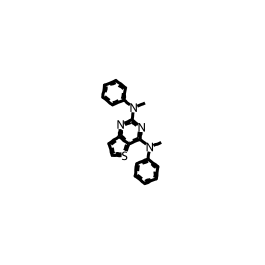 CN(c1ccccc1)c1nc(N(C)c2ccccc2)c2sccc2n1